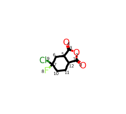 O=C1OC(=O)C2CC(F)(Cl)CCC12